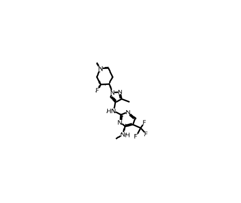 CNc1nc(Nc2cn(C3CCN(C)CC3F)nc2C)ncc1C(F)(F)F